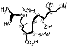 CS[C@H]1[C@@H]([C@H](NC(C)=O)[C@@H](O)[C@@H](O)CO)[C@H](NC(=N)N)C[C@@H]1C(=O)O